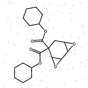 O=C(OC1CCCCC1)C1(C(=O)OC2CCCCC2)CC2OC2C2OC21